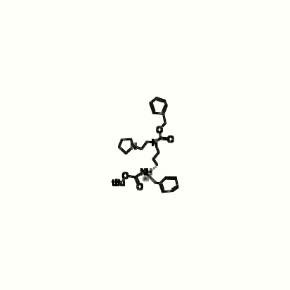 CC(C)(C)OC(=O)N[C@H](CCCN(CCN1CCCC1)C(=O)OCc1ccccc1)Cc1ccccc1